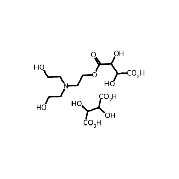 O=C(O)C(O)C(O)C(=O)O.O=C(O)C(O)C(O)C(=O)OCCN(CCO)CCO